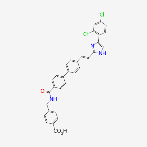 O=C(O)c1ccc(CNC(=O)c2ccc(-c3ccc(C=Cc4nc(-c5ccc(Cl)cc5Cl)c[nH]4)cc3)cc2)cc1